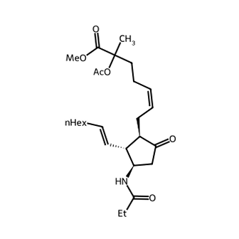 CCCCCC/C=C/[C@H]1[C@H](NC(=O)CC)CC(=O)[C@@H]1C/C=C\CCC(C)(OC(C)=O)C(=O)OC